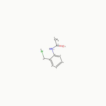 CC(=O)Nc1ccccc1CBr